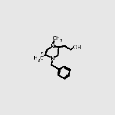 C[C@H]1CN(C)C(CCO)CN1Cc1ccccc1